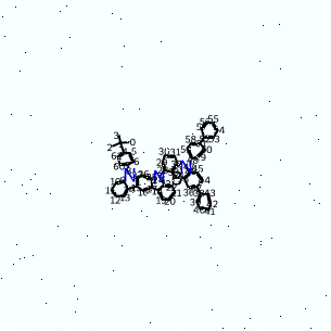 CC(C)(C)c1ccc(-n2c3ccccc3c3cc4c5cccc6c5n(c4cc32)-c2cccc3c2B6c2cc(-c4ccccc4)ccc2N3c2ccc(-c3ccccc3)cc2)cc1